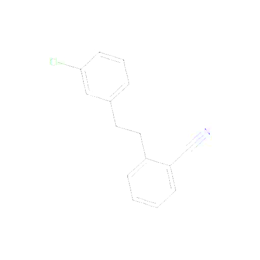 N#Cc1ccccc1CCc1cccc(Cl)c1